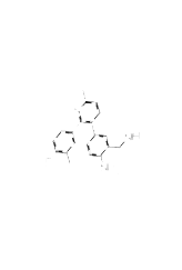 Cc1ccc(-c2ccc(N)c(C=N)c2)c(-c2ccc(F)c(C)c2)n1